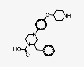 O=C(O)N1CCN(c2ccc(OC3CCNCC3)cc2)CC1Cc1ccccc1